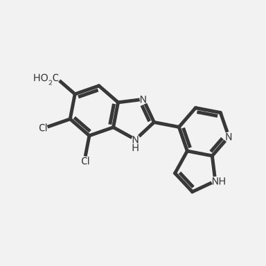 O=C(O)c1cc2nc(-c3ccnc4[nH]ccc34)[nH]c2c(Cl)c1Cl